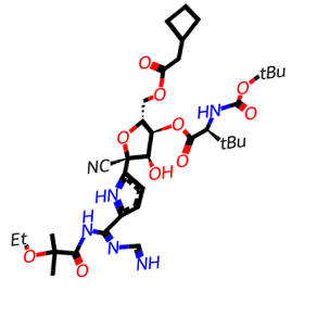 CCOC(C)(C)C(=O)N/C(=N/C=N)c1ccc([C@]2(C#N)O[C@H](COC(=O)CC3CCC3)[C@@H](OC(=O)[C@@H](NC(=O)OC(C)(C)C)C(C)(C)C)[C@H]2O)[nH]1